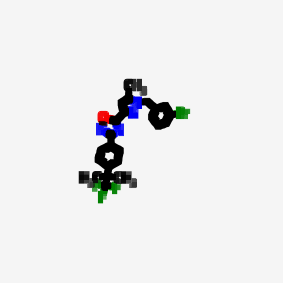 Cc1cc(-c2nc(-c3ccc(C(C)(C)C(F)(F)F)cc3)no2)nn1Cc1cccc(Br)c1